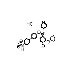 COc1ccc([C@H](Cc2ccncc2)Oc2ccc(-c3ccc(NS(C)(=O)=O)cc3)cc2)cc1OC1CCCC1.Cl